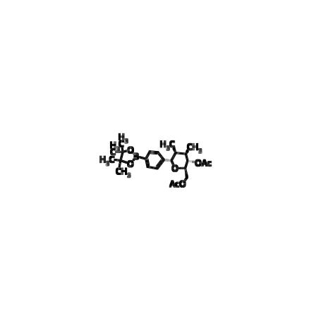 CC(=O)OC[C@H]1O[C@H](c2ccc(B3OC(C)(C)C(C)(C)O3)cc2)[C@@H](C)[C@@H](C)[C@@H]1OC(C)=O